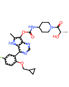 Cc1[nH]c2c(-c3cc(F)ccc3OCC3CC3)ncnc2c1OC(=O)NC1CCN(C(=O)[C@H](C)O)CC1